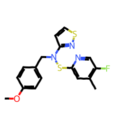 COc1ccc(CN(Sc2cc(C)c(F)cn2)c2ccsn2)cc1